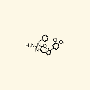 COc1ccc(-c2ccc(C=C3N=C(N)N(Cc4ccccc4)C3=O)o2)cc1Cl